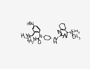 CCCCc1ccc(N(C(N)=O)[C@H]2CC[C@@H](Nc3nc4c(c(N(C)C)n3)CCCC4)CC2)c(CN)c1